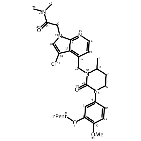 CCCCCOc1cc(N2CCC(C)N(Cc3ccnc4c3c(Cl)cn4CC(=O)N(C)C)C2=O)ccc1OC